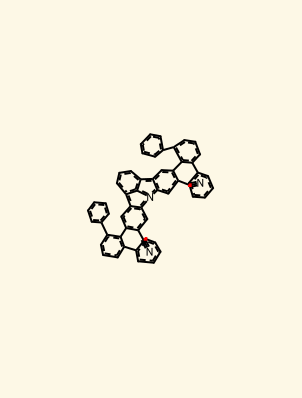 N#Cc1cc2c(cc1-c1c(-c3ccccc3)cccc1-c1ccccc1)c1cccc3c4cc(-c5c(-c6ccccc6)cccc5-c5ccccc5)c(C#N)cc4n2c13